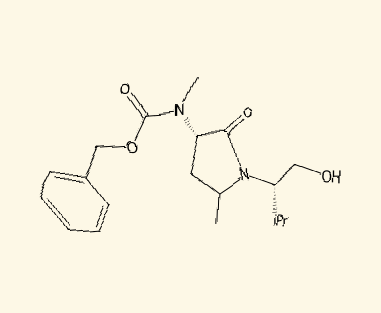 CC(C)[C@@H](CO)N1C(=O)[C@@H](N(C)C(=O)OCc2ccccc2)CC1C